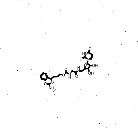 NC(=O)OC(CCCOC(=O)NCC(=O)NCC1OC(n2ccc(=O)[nH]c2=O)C(O)C1O)c1ccccc1